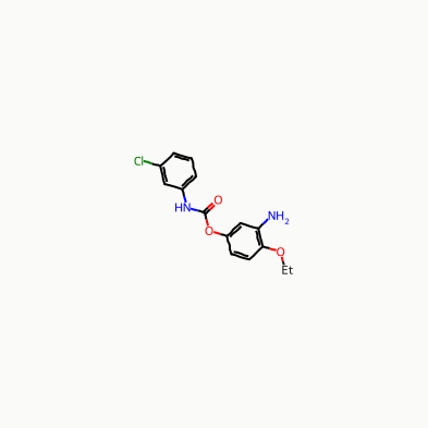 CCOc1ccc(OC(=O)Nc2cccc(Cl)c2)cc1N